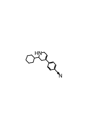 N#Cc1ccc(C2=CCNC(C3CCCCC3)C2)cc1